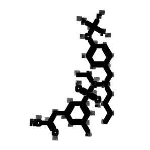 CCCCN(Cc1ccc(OC(F)(F)F)cc1)N(CC)S(=O)(=O)c1cc(C)cc(CC(=O)O)c1